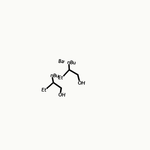 CCCCC(CC)CO.CCCCC(CC)CO.[Ba]